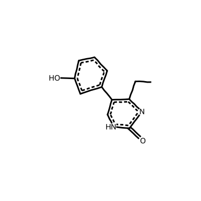 CCc1nc(=O)[nH]cc1-c1cccc(O)c1